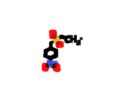 [CH2]CS(=O)(=O)Cc1ccc([N+](=O)[O-])cc1